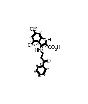 O=C(CCNc1c(C(=O)O)[nH]c2cc(Cl)cc(Cl)c12)c1ccccc1